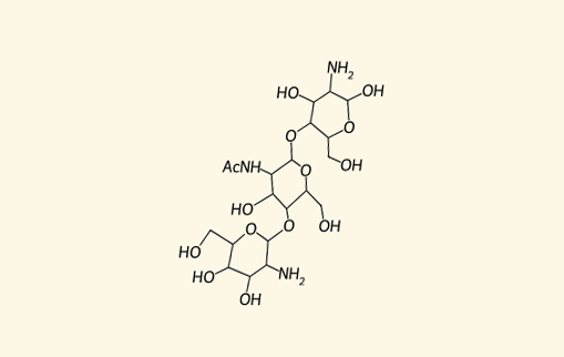 CC(=O)NC1C(OC2C(CO)OC(O)C(N)C2O)OC(CO)C(OC2OC(CO)C(O)C(O)C2N)C1O